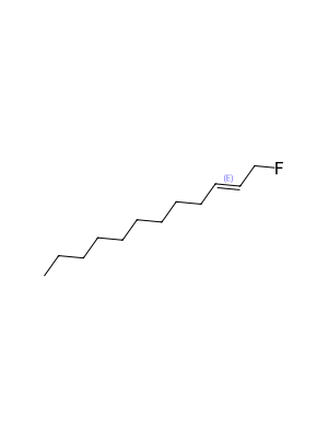 CCCCCCCCC/C=C/CF